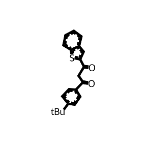 CC(C)(C)c1ccc(C(=O)CC(=O)c2cc3ccccc3s2)cc1